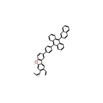 C=Cc1cc2c(cc1/C=C\C)oc1ccc(-c3ccc(-c4c5ccccc5c(-c5ccc6ccccc6c5)c5ccccc45)cc3)cc12